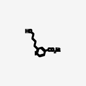 CCOC(=O)c1ccnc(CCCCO)c1